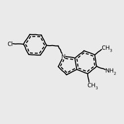 Cc1cc2c(ccn2Cc2ccc(Cl)cc2)c(C)c1N